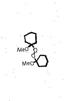 COC1(OOC2(OC)CCCCC2)CCCCC1